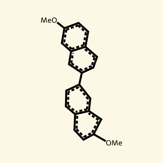 COc1ccc2ccc(-c3ccc4ccc(OC)cc4c3)cc2c1